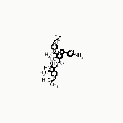 Cc1[nH]c(=O)c(CNC(=O)c2cc3c(-c4ccc(N)nc4)ccn3c(C(C)N3CCN(CC(F)(F)F)CC3)c2C)c2c1CN(CC(C)C)CC2